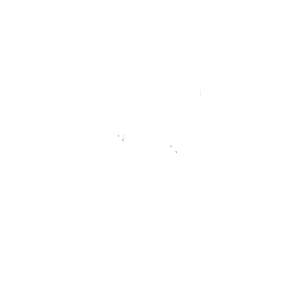 Cc1[c]n2ccccc2n1